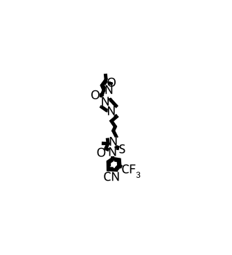 Cc1cc(C(=O)N2CCN(CCCCCN3C(=S)N(c4ccc(C#N)c(C(F)(F)F)c4)C(=O)C3(C)C)CC2)no1